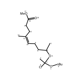 CCCCOC(C)(Cl)OC(C)CCC=C(C)CCC(=O)OC